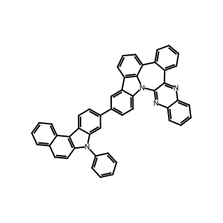 c1ccc(-n2c3cc(-c4ccc5c(c4)c4cccc6c4n5-c4nc5ccccc5nc4-c4ccccc4-6)ccc3c3c4ccccc4ccc32)cc1